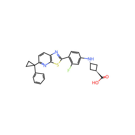 O=C(O)[C@H]1C[C@H](Nc2ccc(-c3nc4ccc(C5(c6ccccc6)CC5)nc4s3)c(F)c2)C1